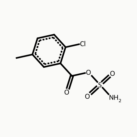 Cc1ccc(Cl)c(C(=O)OS(N)(=O)=O)c1